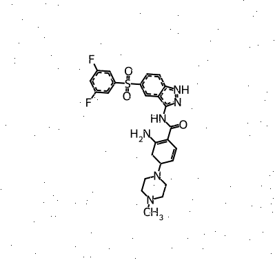 CN1CCN(C2C=CC(C(=O)Nc3n[nH]c4ccc(S(=O)(=O)c5cc(F)cc(F)c5)cc34)=C(N)C2)CC1